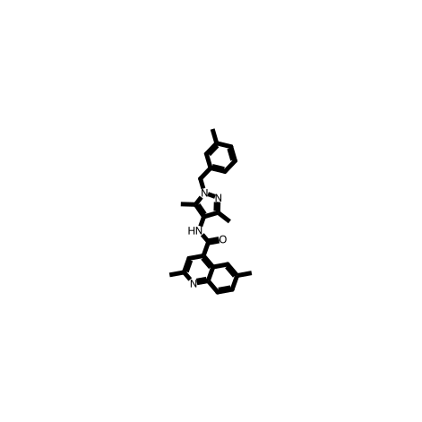 Cc1cccc(Cn2nc(C)c(NC(=O)c3cc(C)nc4ccc(C)cc34)c2C)c1